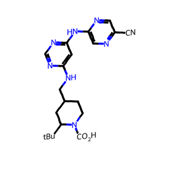 CC(C)(C)C1CC(CNc2cc(Nc3cnc(C#N)cn3)ncn2)CCN1C(=O)O